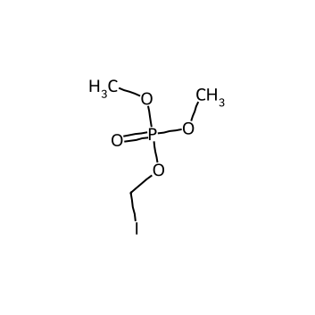 COP(=O)(OC)OCI